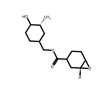 C[C@@H]1CC(COC(=O)C2CCC3O[C@@H]3C2)CCC1O